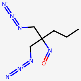 CCCC(CN=[N+]=[N-])(CN=[N+]=[N-])N=O